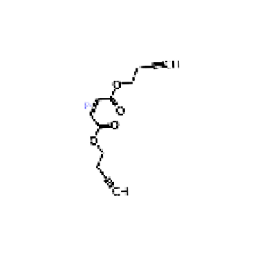 C#CCCOC(=O)/C=C\C(=O)OCCC#C